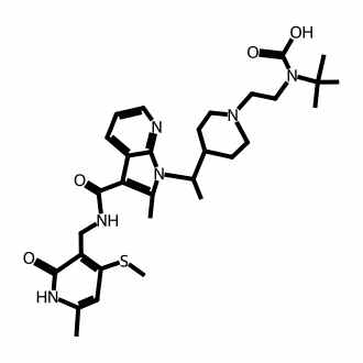 CSc1cc(C)[nH]c(=O)c1CNC(=O)c1c(C)n(C(C)C2CCN(CCN(C(=O)O)C(C)(C)C)CC2)c2ncccc12